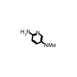 CNc1ccc(N)nc1